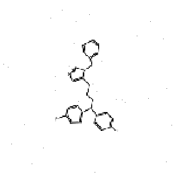 Fc1ccc(C(CCCc2cncn2Cc2ccccc2)c2ccc(F)cc2)cc1